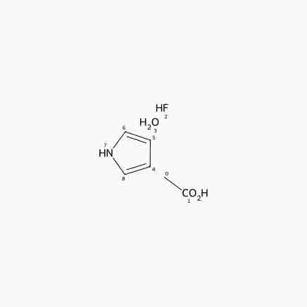 CC(=O)O.F.O.c1cc[nH]c1